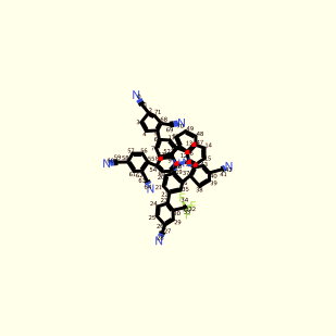 N#Cc1ccc(-c2ccc3c(c2)c2ccccc2n3-c2ccc(-c3ccc(C#N)cc3C(F)(F)F)cc2-c2ccc(C#N)cc2-n2c3ccccc3c3cc(-c4ccc(C#N)cc4C#N)ccc32)c(C#N)c1